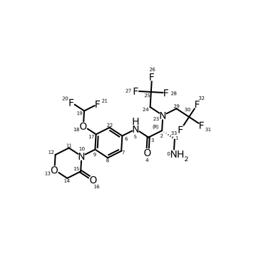 NC[C@H](C(=O)Nc1ccc(N2CCOCC2=O)c(OC(F)F)c1)N(CC(F)(F)F)CC(F)(F)F